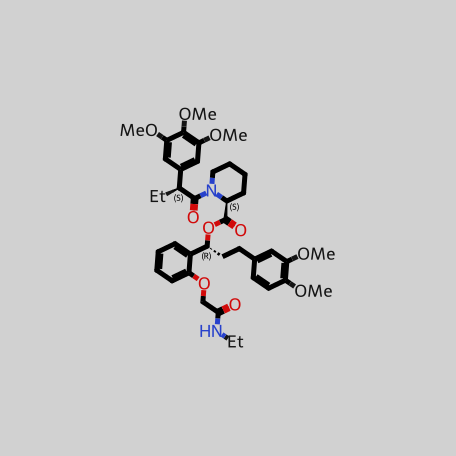 CCNC(=O)COc1ccccc1[C@@H](CCc1ccc(OC)c(OC)c1)OC(=O)[C@@H]1CCCCN1C(=O)[C@@H](CC)c1cc(OC)c(OC)c(OC)c1